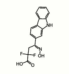 O=C(O)C(F)(F)CC(=NO)c1ccc2c(c1)[nH]c1ccccc12